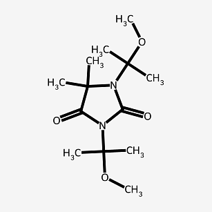 COC(C)(C)N1C(=O)N(C(C)(C)OC)C(C)(C)C1=O